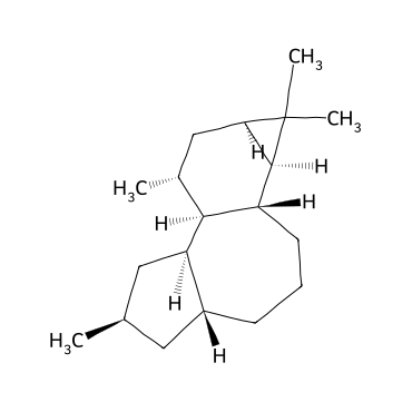 C[C@@H]1C[C@H]2CCC[C@@H]3[C@@H]([C@@H]2C1)[C@H](C)C[C@@H]1[C@H]3C1(C)C